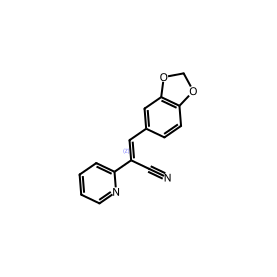 N#C/C(=C\c1ccc2c(c1)OCO2)c1ccccn1